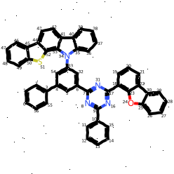 c1ccc(-c2cc(-c3nc(-c4ccccc4)nc(-c4cccc5c4oc4ccccc45)n3)cc(-n3c4ccccc4c4ccc5c6ccccc6sc5c43)c2)cc1